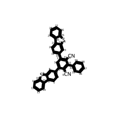 N#Cc1c(-c2ccc3c(c2)sc2ccccc23)cc(-c2ccc3c(c2)sc2ccccc23)c(C#N)c1-c1ccccc1